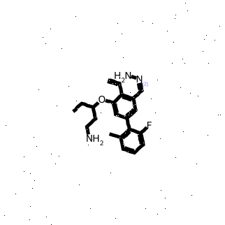 C=Cc1c(/C=N\N)cc(-c2c(C)cccc2F)cc1OC(CC)CCN